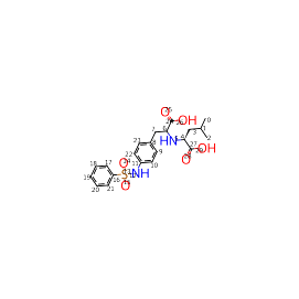 CC(C)C[C@H](NC(Cc1ccc(NS(=O)(=O)c2ccccc2)cc1)C(=O)O)C(=O)O